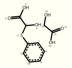 O=C(O)C(O)Sc1ccccc1.O=C(O)CO